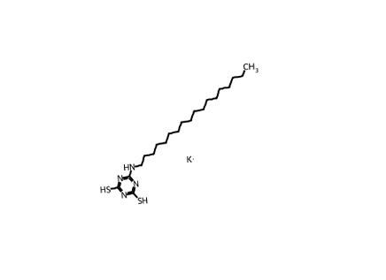 CCCCCCCCCCCCCCCCCCNc1nc(S)nc(S)n1.[K]